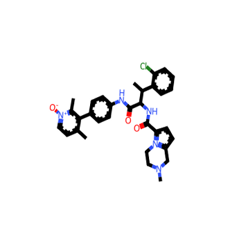 Cc1cc[n+]([O-])c(C)c1-c1ccc(NC(=O)C(NC(=O)c2ccc3n2CCN(C)C3)C(C)c2ccccc2Cl)cc1